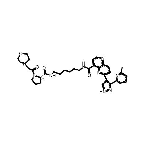 Cc1cccc(-c2n[nH]cc2-c2ccc3nccc(C(=O)NCCCCCCNC(=O)[C@@H]4CCCN4C(=O)CN4CCOCC4)c3n2)n1